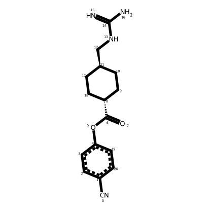 N#Cc1ccc(OC(=O)[C@H]2CC[C@H](CNC(=N)N)CC2)cc1